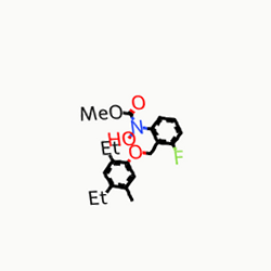 CCc1cc(CC)c(OCc2c(F)cccc2N(O)C(=O)OC)cc1C